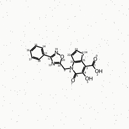 O=C(O)c1c(O)c(=O)n(Cc2nc(-c3ccccc3)no2)c2ccsc12